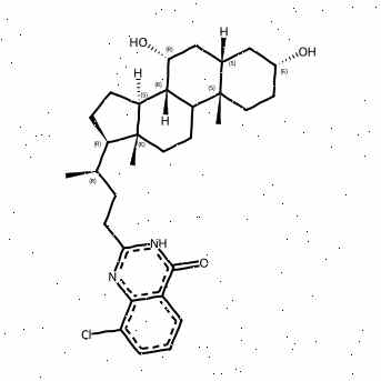 C[C@H](CCc1nc2c(Cl)cccc2c(=O)[nH]1)[C@H]1CC[C@H]2[C@H]3C(CC[C@]12C)[C@@]1(C)CC[C@@H](O)C[C@H]1C[C@H]3O